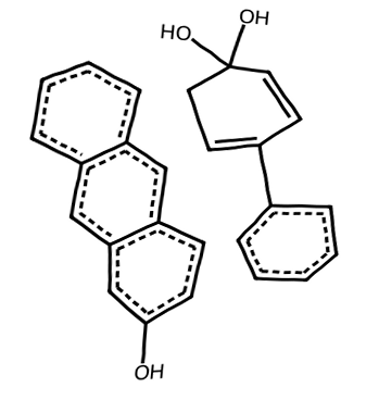 OC1(O)C=CC(c2ccccc2)=CC1.Oc1ccc2cc3ccccc3cc2c1